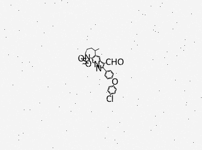 CC1CCCN(S(C)(=O)=O)c2cn3nc(-c4ccc(Oc5ccc(Cl)cc5)cc4)c(C=O)c3cc21